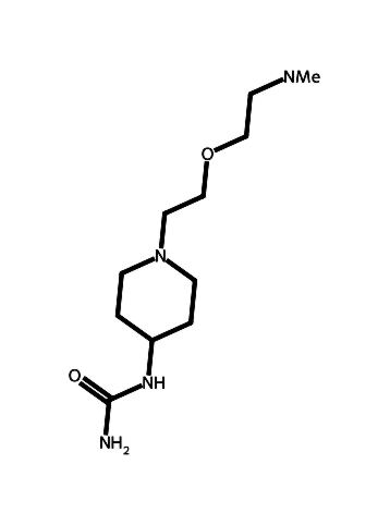 CNCCOCCN1CCC(NC(N)=O)CC1